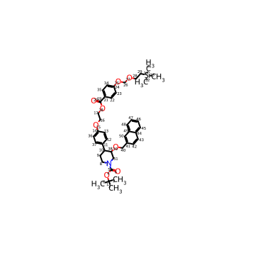 CC(C)(C)OC(=O)N1CCC(c2ccc(OCCOC(=O)c3ccc(OCOCC[Si](C)(C)C)cc3)cc2)C(OCc2ccc3ccccc3c2)C1